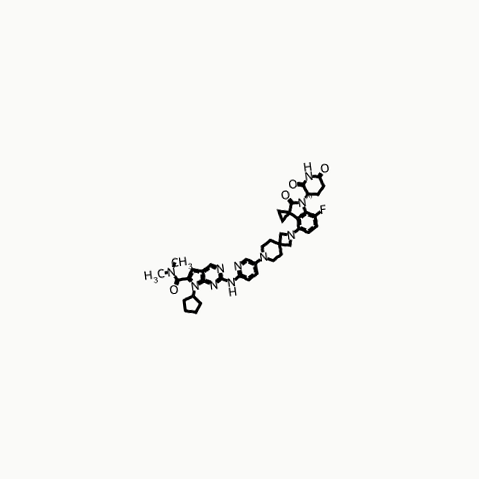 CN(C)C(=O)c1cc2cnc(Nc3ccc(N4CCC5(CC4)CN(c4ccc(F)c6c4C4(CC4)C(=O)N6[C@@H]4CCC(=O)NC4=O)C5)cn3)nc2n1C1CCCC1